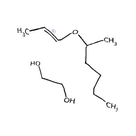 C/C=C/OC(C)CCCC.OCCO